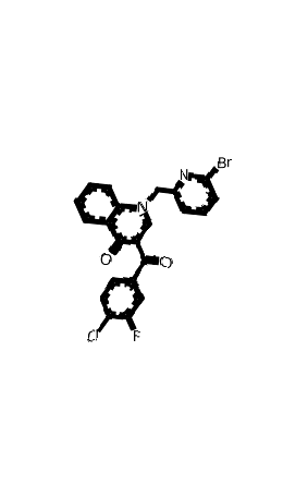 O=C(c1ccc(Cl)c(F)c1)c1cn(Cc2cccc(Br)n2)c2ccccc2c1=O